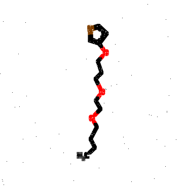 CCCCOCCOCCCOc1ccsc1